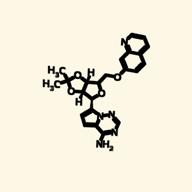 CC1(C)O[C@@H]2[C@H](O1)C(COc1ccc3cccnc3c1)O[C@H]2c1ccc2c(N)ncnn12